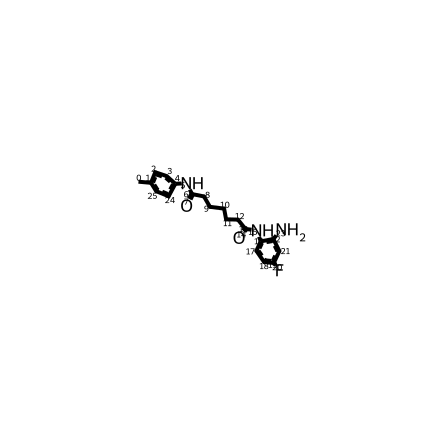 Cc1ccc(NC(=O)CCCCCC(=O)Nc2ccc(F)cc2N)cc1